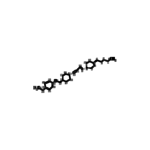 CCCCC[C@H]1CC[C@H](C=CC#C[C@H]2CC[C@H](COc3ccc(CC)cc3)CC2)CC1